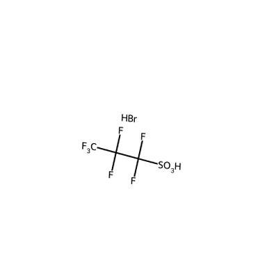 Br.O=S(=O)(O)C(F)(F)C(F)(F)C(F)(F)F